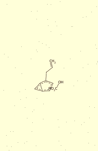 C=CCc1ccc2cc1-2.O=C(O)O